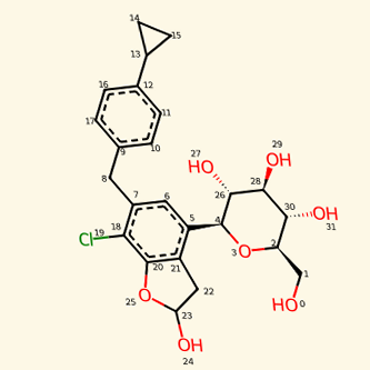 OC[C@H]1O[C@@H](c2cc(Cc3ccc(C4CC4)cc3)c(Cl)c3c2CC(O)O3)[C@H](O)[C@@H](O)[C@@H]1O